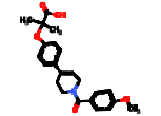 COc1ccc(C(=O)N2CC=C(c3ccc(OC(C)(C)C(=O)O)cc3)CC2)cc1